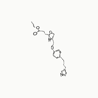 CCOC(=O)CCc1nc(COc2ccc(CCCn3ccnc3)cc2)co1